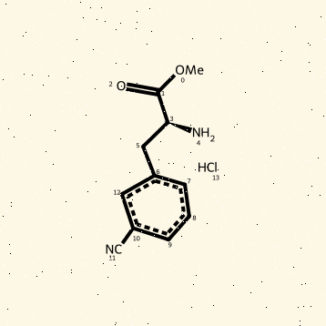 COC(=O)[C@@H](N)Cc1cccc(C#N)c1.Cl